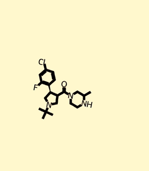 CC1CN(C(=O)C2CN(C(C)(C)C)C[C@H]2c2ccc(Cl)cc2F)CCN1